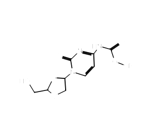 CCCCOC(=O)Nc1ccn(C2COC(CO)O2)c(=O)n1